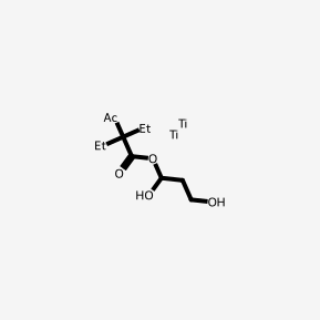 CCC(CC)(C(C)=O)C(=O)OC(O)CCO.[Ti].[Ti]